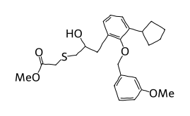 COC(=O)CSCC(O)Cc1cccc(C2CCCC2)c1OCc1cccc(OC)c1